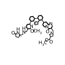 COC(=O)C1CN(Cc2cnc3cc(-c4cccc(-c5cccc(-c6ccc(CNC[C@H]7CCC(=O)N7)c(OC)n6)c5Cl)c4Cl)ccn3c2=O)C1